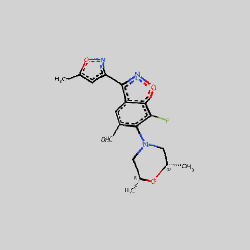 Cc1cc(-c2noc3c(F)c(N4C[C@@H](C)O[C@@H](C)C4)c(C=O)cc23)no1